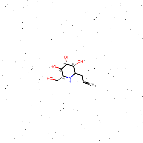 C=CCC1N[C@H](CO)[C@@H](O)[C@H](O)[C@@H]1O